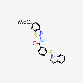 COc1ccc2nc(NC(=O)c3cccc(SN4CCc5ccccc54)c3)sc2c1